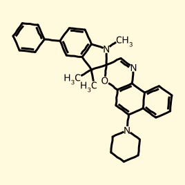 CN1c2ccc(-c3ccccc3)cc2C(C)(C)C12C=Nc1c(cc(N3CCCCC3)c3ccccc13)O2